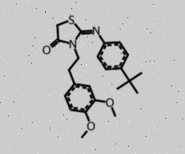 COc1ccc(CCN2C(=O)CS/C2=N/c2ccc(C(C)(C)C)cc2)cc1OC